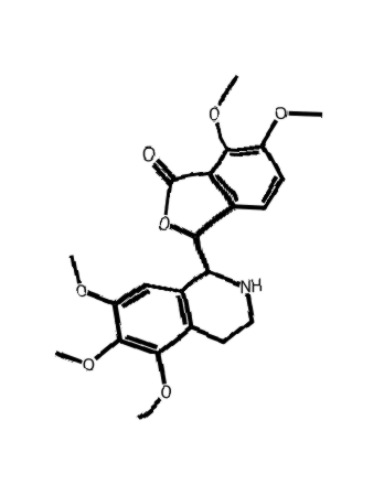 COc1cc2c(c(OC)c1OC)CCNC2C1OC(=O)c2c1ccc(OC)c2OC